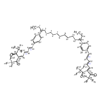 CCN(CCCCCCCCCCN(CC)c1ccc(/C=C/C=C/C=C(C(=O)C(F)(F)F)C(=O)C(F)(F)F)cc1)c1ccc(/C=C/C=C/C=C(C(=O)C(F)(F)F)C(=O)C(F)(F)F)cc1